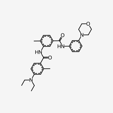 CCN(CC)c1ccc(C(=O)Nc2cc(C(=O)Nc3cccc(N4CCOCC4)c3)ccc2C)c(C)c1